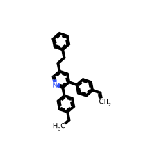 C=Cc1ccc(-c2cc(CCc3ccccc3)cnc2-c2ccc(CC)cc2)cc1